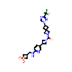 O=C(N1CC(c2ccc(NCC3CS(=O)(=O)C3)nc2)C1)N1CC2(CC(n3cnc(C(F)(F)F)n3)C2)C1